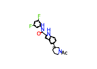 CC(=O)N1CCC[C@@H](c2ccc3[nH]c(C(=O)Nc4cc(F)cc(F)c4)cc3c2)C1